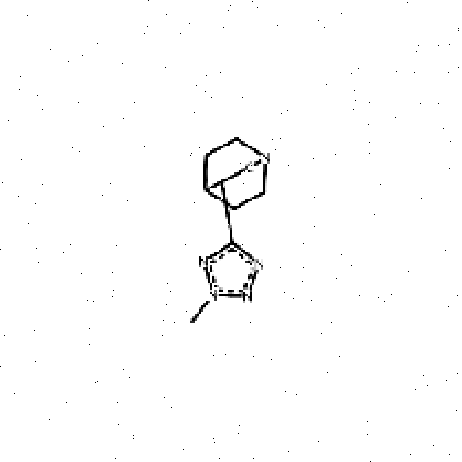 Cn1nnc(C2CN3CCC2CC3)n1